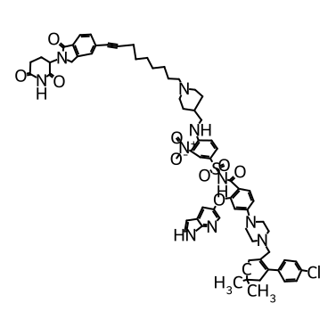 CC1(C)CCC(CN2CCN(c3ccc(C(=O)NS(=O)(=O)c4ccc(NCC5CCN(CCCCCCCC#Cc6ccc7c(c6)CN(C6CCC(=O)NC6=O)C7=O)CC5)c([N+](=O)[O-])c4)c(Oc4cnc5[nH]ccc5c4)c3)CC2)=C(c2ccc(Cl)cc2)C1